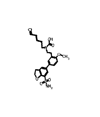 COc1ccc(-c2cc3c(c(S(N)(=O)=O)c2)OCC3)cc1CCN(CCCCC=O)C(=O)O